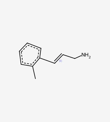 Cc1ccccc1/C=C/CN